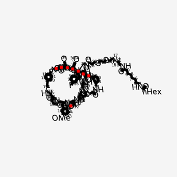 CCCCCCC(=O)NCCCCCCCC(=O)NCC[N+](C)(C)CCOCCOCCC(=O)NC[C@H]1NC(=O)[C@H](C)NC(=O)CCC(=O)N2CCCCCCn3cc(c4cc(F)ccc43)C[C@@H]3NC(=O)[C@H](Cc4cccc(c4)CNC(=O)COC4CCN(C3=O)[C@@H]4C(=O)N[C@@H]([C@@H](C)O)C(=O)N[C@@H](Cc3ccc(OC)cc3)C(=O)N3CCC[C@@]3(C)C(=O)NCCc3ccc(cc3)C2)NC1=O